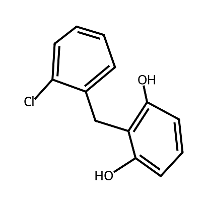 Oc1cccc(O)c1Cc1ccccc1Cl